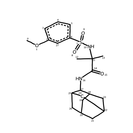 COc1cccc(S(=O)(=O)NC(C)(C)C(=O)NC2C3CC4CC(C3)CC2C4)c1